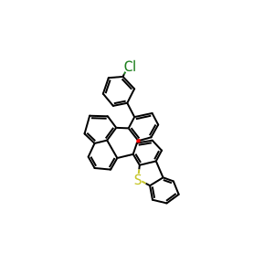 Clc1cccc(-c2ccccc2-c2cccc3cccc(-c4cccc5c4sc4ccccc45)c23)c1